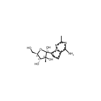 Cc1nc(N)c2ccc([C@]3(O)O[C@H](CO)[C@@H](O)[C@@]3(C)O)n2n1